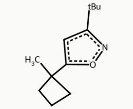 CC(C)(C)c1cc(C2(C)CCC2)on1